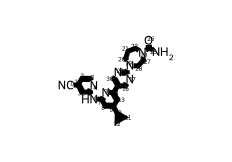 N#Cc1ccnc(Nc2cc(C3CC3)cc(-c3cnc(N4CCCN(C(N)=O)CC4)nc3)n2)c1